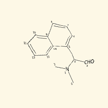 CN(C)C([C]=O)c1cccc2ccccc12